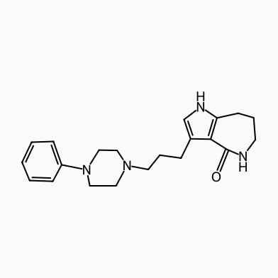 O=C1NCCCc2[nH]cc(CCCN3CCN(c4ccccc4)CC3)c21